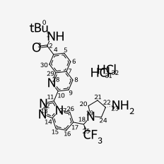 CC(C)(C)NC(=O)c1ccc2ccc(-c3nnc4ccc([C@@H](N5CC[C@H](N)C5)C(F)(F)F)cn34)nc2c1.Cl.Cl